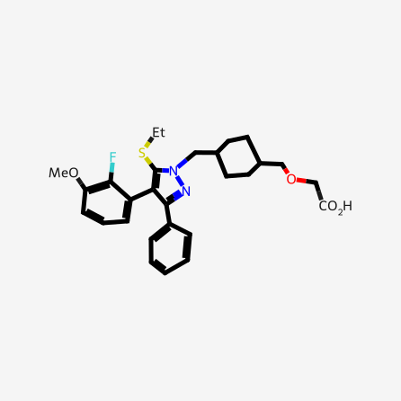 CCSc1c(-c2cccc(OC)c2F)c(-c2ccccc2)nn1CC1CCC(COCC(=O)O)CC1